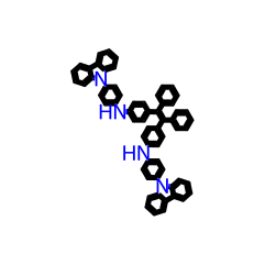 c1ccc(C(=C(c2ccccc2)c2ccc(Nc3ccc(-n4c5ccccc5c5ccccc54)cc3)cc2)c2ccc(Nc3ccc(-n4c5ccccc5c5ccccc54)cc3)cc2)cc1